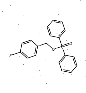 O=P(OCc1ccc(Br)cc1)(c1ccccc1)c1ccccc1